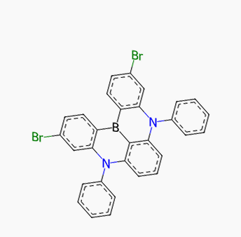 Brc1ccc2c(c1)N(c1ccccc1)c1cccc3c1B2c1ccc(Br)cc1N3c1ccccc1